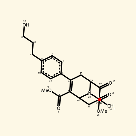 COC(=O)C1=C(c2ccc(CCCO)cc2)CC2C(=O)N(C)CC1N2C(=O)OC